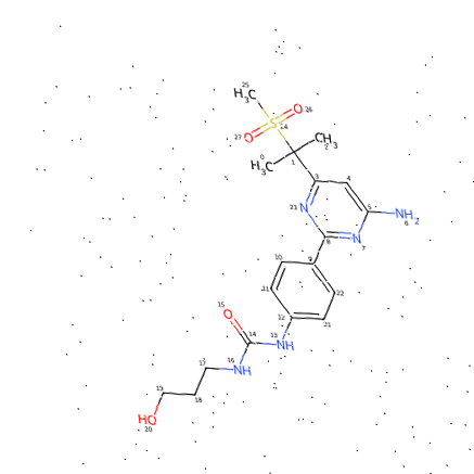 CC(C)(c1cc(N)nc(-c2ccc(NC(=O)NCCCO)cc2)n1)S(C)(=O)=O